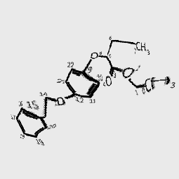 CCOC(=O)[C@H](CC)Oc1ccc(OCc2ccccc2)cc1